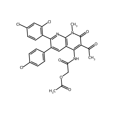 CC(=O)OCC(=O)Nc1c(C(C)=O)c(=O)n(C)c2nc(-c3ccc(Cl)cc3Cl)c(-c3ccc(Cl)cc3)cc12